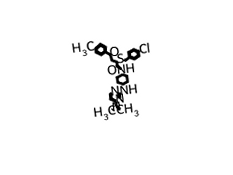 Cc1ccc(C(=O)CC(SCc2ccc(Cl)cc2)C(=O)NC2CCC(Nc3nccc(N(C)C)n3)CC2)cc1